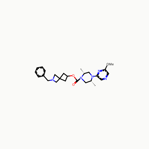 COc1cncc(N2C[C@@H](C)N(C(=O)OC3CC4(C3)CN(Cc3ccccc3)C4)C[C@H]2C)n1